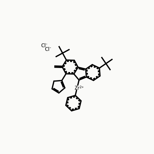 C=c1c(C(C)(C)C)cc2c(c1C1=CC=CC1)[C]([Zr+2][c]1ccccc1)=c1ccc(C(C)(C)C)cc1=2.[Cl-].[Cl-]